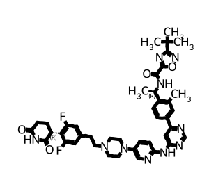 Cc1cc(-c2cc(Nc3ccc(N4CCN(CCc5cc(F)c([C@H]6CCC(=O)NC6=O)c(F)c5)CC4)cn3)ncn2)ccc1[C@@H](C)NC(=O)c1nc(C(C)(C)C)no1